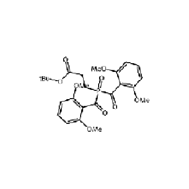 COc1cccc(OC)c1C(=O)P(=O)(CCC(=O)OC(C)(C)C)C(=O)c1c(OC)cccc1OC